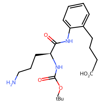 CC(C)(C)OC(=O)N[C@@H](CCCN)C(=O)Nc1ccccc1CCCC(=O)O